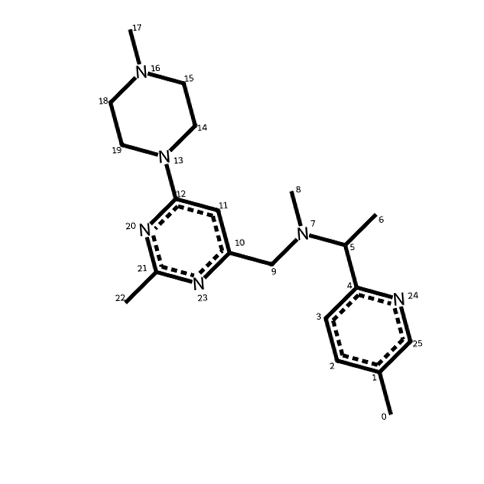 Cc1ccc(C(C)N(C)Cc2cc(N3CCN(C)CC3)nc(C)n2)nc1